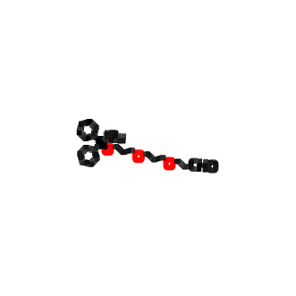 CC(C)(C)[Si](OCCCOCCCOCCC=O)(c1ccccc1)c1ccccc1